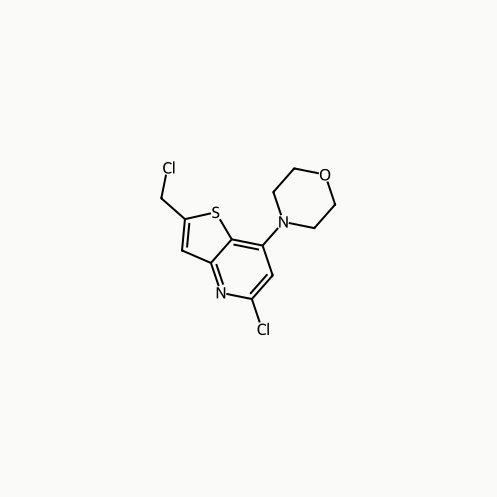 ClCc1cc2nc(Cl)cc(N3CCOCC3)c2s1